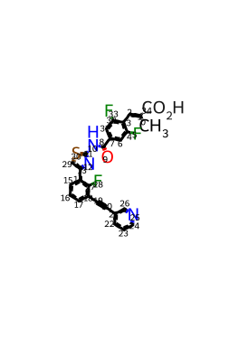 CC(=Cc1c(F)cc(C(=O)Nc2nc(-c3cccc(C#Cc4cccnc4)c3F)cs2)cc1F)C(=O)O